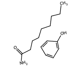 CCCCCCCCC(N)=O.Oc1ccccc1